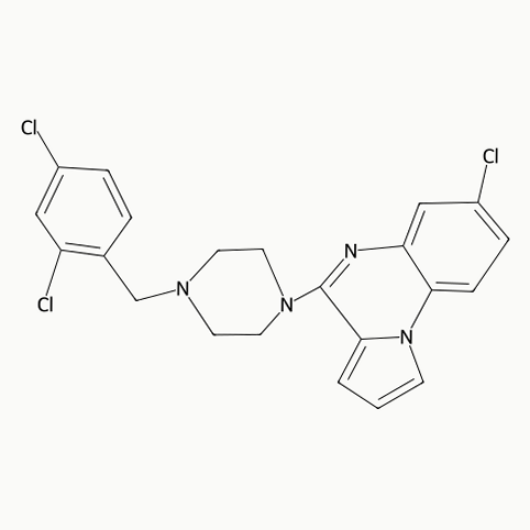 Clc1ccc(CN2CCN(c3nc4cc(Cl)ccc4n4cccc34)CC2)c(Cl)c1